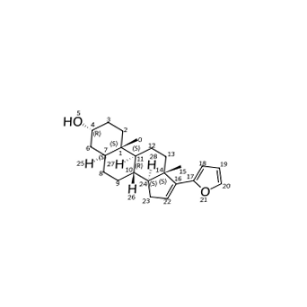 C[C@]12CC[C@@H](O)C[C@@H]1CC[C@@H]1[C@@H]2CC[C@]2(C)C(c3ccco3)=CC[C@@H]12